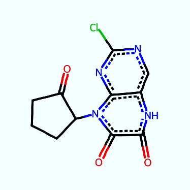 O=C1CCCC1n1c(=O)c(=O)[nH]c2cnc(Cl)nc21